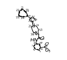 COC(=O)c1cccc(NC(=O)N2CCN(c3nc(-c4ccccc4)ns3)CC2)c1